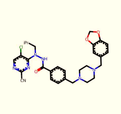 CC(C)CN(NC(=O)c1ccc(CN2CCN(Cc3ccc4c(c3)OCO4)CC2)cc1)c1nc(C#N)ncc1Cl